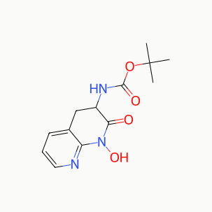 CC(C)(C)OC(=O)NC1Cc2cccnc2N(O)C1=O